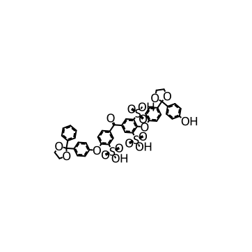 O=C(c1ccc(Oc2ccc(C3(c4ccccc4)OCCO3)cc2)c(S(=O)(=O)O)c1)c1cc(S(=O)(=O)O)c(Oc2ccc(C3(c4ccc(O)cc4)OCCO3)cc2)c(S(=O)(=O)O)c1